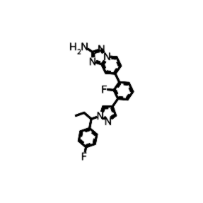 CCC(c1ccc(F)cc1)n1cc(-c2cccc(-c3ccn4nc(N)nc4c3)c2F)cn1